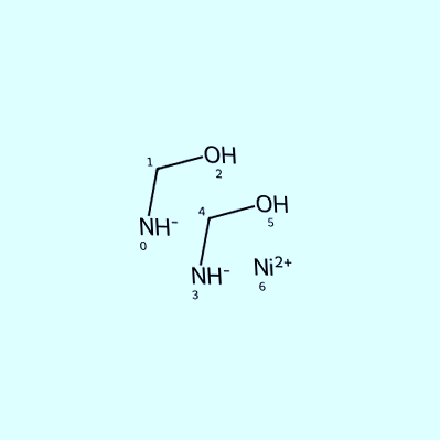 [NH-]CO.[NH-]CO.[Ni+2]